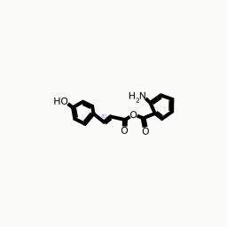 Nc1ccccc1C(=O)OC(=O)/C=C/c1ccc(O)cc1